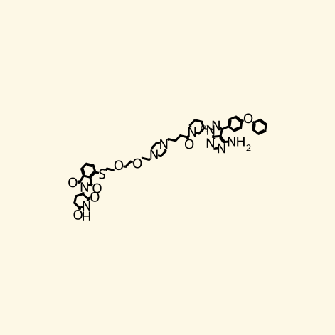 Nc1ncnc2c1c(-c1ccc(Oc3ccccc3)cc1)nn2[C@@H]1CCCN(C(=O)CCCN2CCN(CCOCCOCCSc3cccc4c3C(=O)N(C3CCC(=O)NC3=O)C4=O)CC2)C1